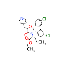 CCCC(C(=O)OCC)N1C(=O)C(Cc2ccncc2)O[C@H](c2ccc(Cl)cc2)[C@@H]1c1ccc(Cl)cc1